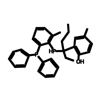 CCCC(CC)(Pc1c(C)cccc1P(c1ccccc1)c1ccccc1)c1cc(C)ccc1O